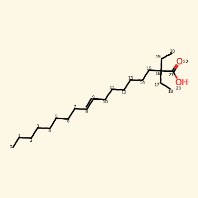 CCCCCCCCC=CCCCCCCC(CC)(CC)C(=O)O